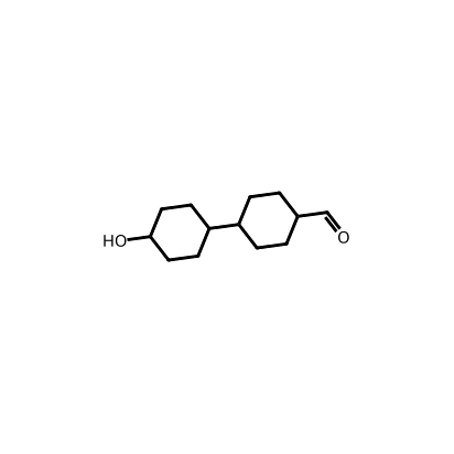 O=CC1CCC(C2CCC(O)CC2)CC1